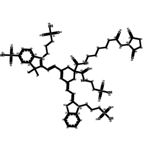 CC1(C)C(/C=C/C2=CC(=C/C=C3\Sc4ccccc4N3CCCS(=O)(=O)O)/CC(C(=O)NCCCCCC(=O)ON3C(=O)CCC3=O)(C(=O)NCCS(=O)(=O)O)C2)=[N+](CCCS(=O)(=O)O)c2ccc(S(=O)(=O)O)cc21